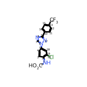 O=C(O)Nc1ccc(-n2cnc(-c3ccc(C(F)(F)F)cc3)n2)cc1Cl